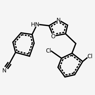 N#Cc1ccc(Nc2ncc(Cc3c(Cl)cccc3Cl)o2)cc1